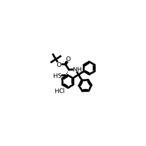 CC(C)(C)OC(=O)[C@@H](CS)NC(c1ccccc1)(c1ccccc1)c1ccccc1.Cl